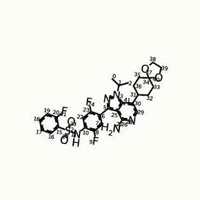 CC(C)n1nc(-c2cc(F)c(NS(=O)(=O)c3ccccc3F)cc2F)c2c(N)ncc(C3CCC4(CC3)OCCO4)c21